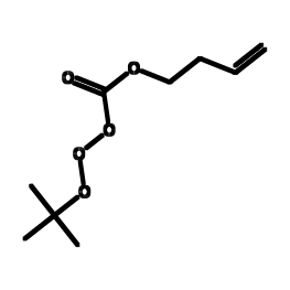 C=CCCOC(=O)OOOC(C)(C)C